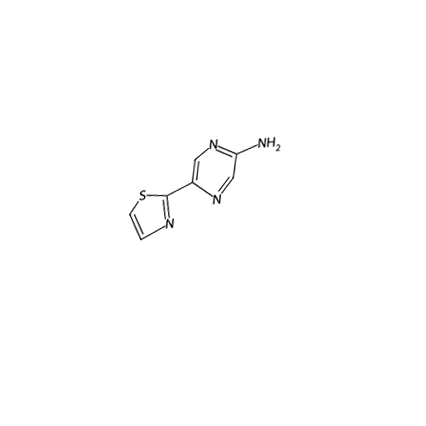 Nc1cnc(-c2nccs2)cn1